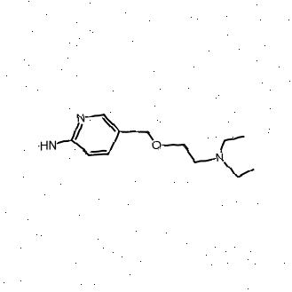 CCN(CC)CCOCc1ccc([NH])nc1